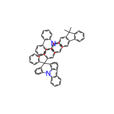 CC1(C)c2ccccc2-c2ccc(N(c3ccc4c(c3)-c3ccccc3C43c4ccccc4-n4c5ccccc5c5cccc3c54)c3ccccc3-c3ccccc3-c3ccccc3)cc21